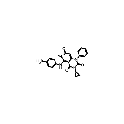 Bc1ccc(Nc2c3c(=O)n(C4CC4)c(=O)n(-c4ccccc4)c3cc(=O)n2C)cc1